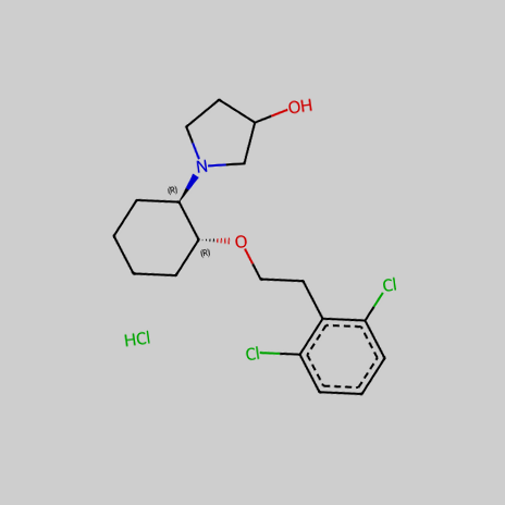 Cl.OC1CCN([C@@H]2CCCC[C@H]2OCCc2c(Cl)cccc2Cl)C1